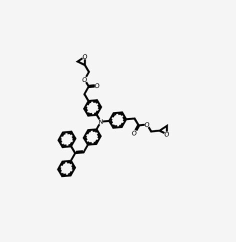 O=C(Cc1ccc(N(c2ccc(C=C(c3ccccc3)c3ccccc3)cc2)c2ccc(CC(=O)OCC3CO3)cc2)cc1)OCC1CO1